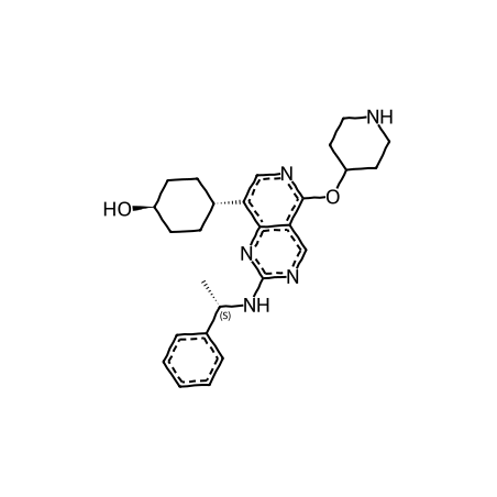 C[C@H](Nc1ncc2c(OC3CCNCC3)ncc([C@H]3CC[C@H](O)CC3)c2n1)c1ccccc1